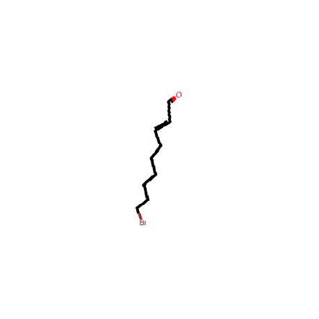 O=CC=CCCCCCCBr